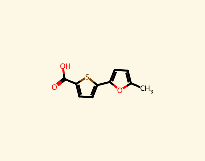 Cc1ccc(-c2ccc(C(=O)O)s2)o1